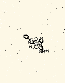 C=C[C@H]1OC(c2ccncc2NC(=O)c2nc(-c3ccccc3)ncc2N)=C[C@@H](O)[C@@H]1O